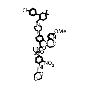 COc1ccc2c(n1)OCCCN2c1cc(N2CCN(CC3=C(c4ccc(Cl)cc4)CC(C)(C)CC3)CC2)ccc1C(=O)NS(=O)(=O)c1ccc(NC[C@H]2COCCO2)c([N+](=O)[O-])c1